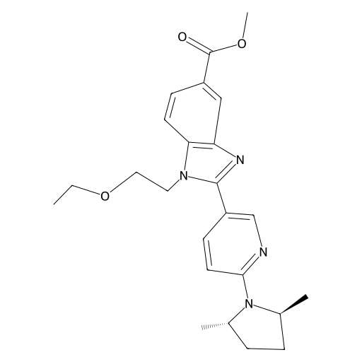 CCOCCn1c(-c2ccc(N3[C@@H](C)CC[C@@H]3C)nc2)nc2cc(C(=O)OC)ccc21